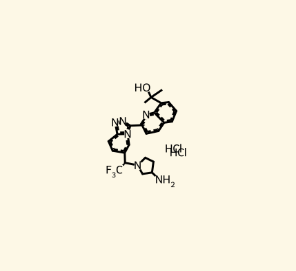 CC(C)(O)c1cccc2ccc(-c3nnc4ccc([C@@H](N5CCC(N)C5)C(F)(F)F)cn34)nc12.Cl.Cl